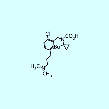 CN(C)CCCc1ccc(Cl)c(CN(C(=O)O)C2(C(C)(C)C)CC2)c1